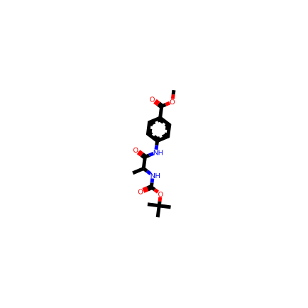 COC(=O)c1ccc(NC(=O)C(C)NC(=O)OC(C)(C)C)cc1